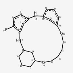 Fc1cnc2nc1NC1CCCC(C1)OCCCCOc1cccc(c1)N2